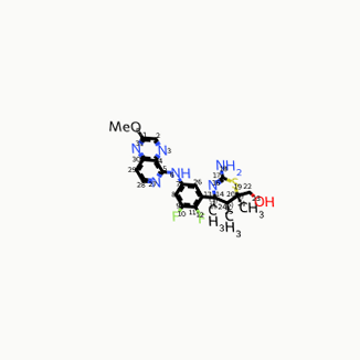 COc1cnc2c(Nc3cc(F)c(F)c([C@@]4(C)N=C(N)S[C@](C)(CO)[C@H]4C)c3)nccc2n1